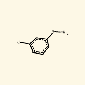 NSc1cccc(Cl)c1